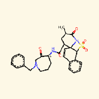 CC1C[C](C(=O)N[C@H]2CCCN(Cc3ccccc3)CC2=O)C23C=Cc4ccccc4C2S(=O)(=O)N3C1=O